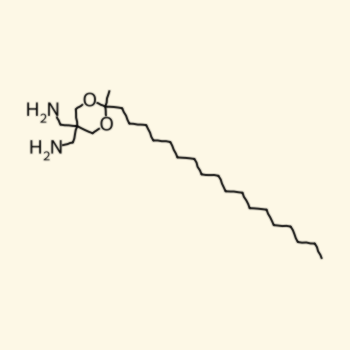 CCCCCCCCCCCCCCCCCCC1(C)OCC(CN)(CN)CO1